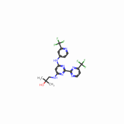 CC(C)(O)CNc1cc(Nc2ccnc(C(F)(F)F)c2)nc(-c2nccc(C(F)(F)F)n2)n1